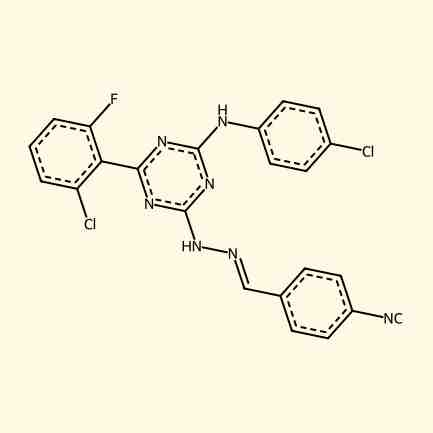 [C-]#[N+]c1ccc(C=NNc2nc(Nc3ccc(Cl)cc3)nc(-c3c(F)cccc3Cl)n2)cc1